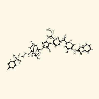 Cc1ccc(S(=O)(=O)OCCOC23CC4(Cn5ncc(-c6ccc(C(=O)c7cc(C)c(Nc8nc9ccccc9s8)nn7)nc6C(=O)OC(C)(C)C)c5C)C[C@@](C)(C2)C[C@](C)(C4)C3)cc1